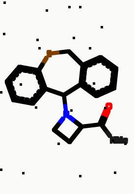 CNC(=O)C1CCN1C1c2ccccc2CSc2ccccc21